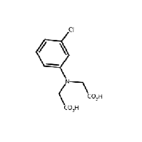 O=C(O)CN(CC(=O)O)c1cccc(Cl)c1